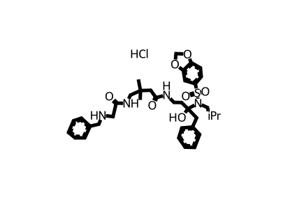 CC(C)CN(C(O)(CCNC(=O)CC(C)(C)CNC(=O)CNCc1ccccc1)Cc1ccccc1)S(=O)(=O)c1ccc2c(c1)OCO2.Cl